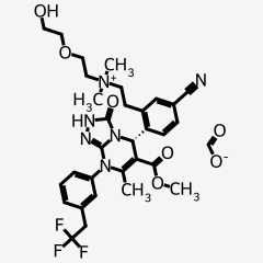 COC(=O)C1=C(C)N(c2cccc(CC(F)(F)F)c2)c2n[nH]c(=O)n2[C@@H]1c1ccc(C#N)cc1CC[N+](C)(C)CCOCCO.O=C[O-]